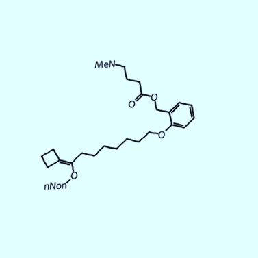 CCCCCCCCCOC(CCCCCCCOc1ccccc1COC(=O)CCCNC)=C1CCC1